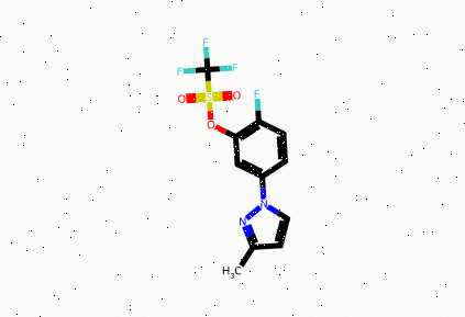 Cc1ccn(-c2ccc(F)c(OS(=O)(=O)C(F)(F)F)c2)n1